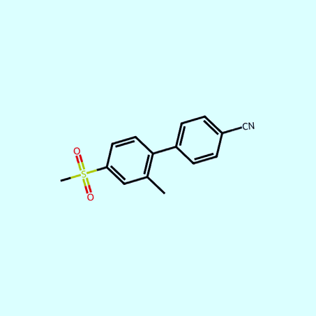 Cc1cc(S(C)(=O)=O)ccc1-c1ccc(C#N)cc1